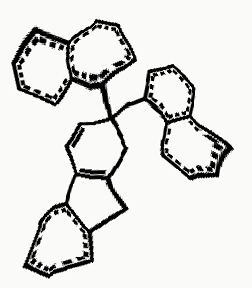 C1=CC(c2cccc3ccccc23)(c2cccc3ccccc23)CC2=C1c1ccccc1C2